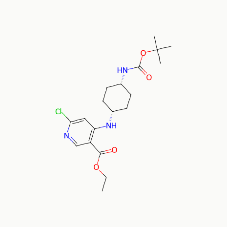 CCOC(=O)c1cnc(Cl)cc1N[C@H]1CC[C@@H](NC(=O)OC(C)(C)C)CC1